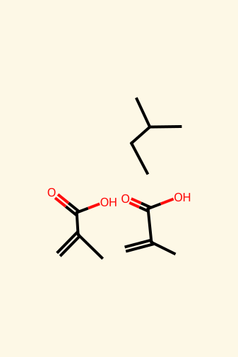 C=C(C)C(=O)O.C=C(C)C(=O)O.CCC(C)C